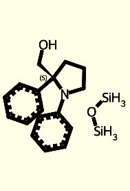 OC[C@@]1(c2ccccc2)CCCN1c1ccccc1.[SiH3]O[SiH3]